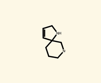 C1=CC2(CCC[N]C2)NC1